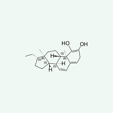 CC[C@H]1CC[C@H]2[C@@H]3C=CC4=CCC(O)=C(O)[C@]4(C)[C@H]3CC[C@]12C